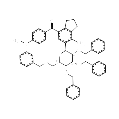 COc1ccc(C(=O)c2cc([C@@H]3O[C@H](COCc4ccccc4)[C@H](OCc4ccccc4)[C@H](OCc4ccccc4)[C@@H]3OCc3ccccc3)c(C)c3c2CCC3)cc1